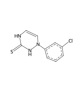 S=C1NC=CN(c2cccc(Cl)c2)N1